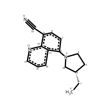 CC[C@H]1CCN(c2ccc(C#N)c3ncccc23)C1